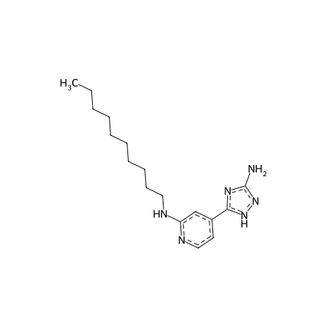 CCCCCCCCCCNc1cc(-c2nc(N)n[nH]2)ccn1